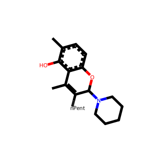 CCCCCC1=C(C)c2c(ccc(C)c2O)OC1N1CCCCC1